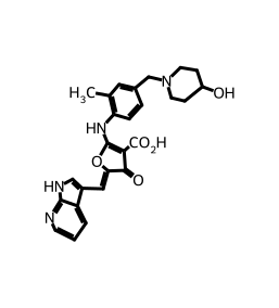 Cc1cc(CN2CCC(O)CC2)ccc1NC1=C(C(=O)O)C(=O)/C(=C/c2c[nH]c3ncccc23)O1